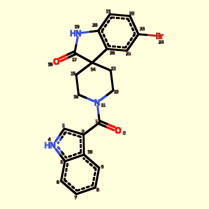 O=C(c1c[nH]c2ccccc12)N1CCC2(CC1)C(=O)Nc1ccc(Br)cc12